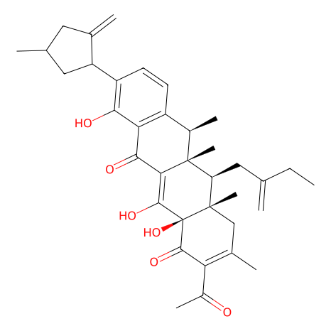 C=C(CC)C[C@@H]1[C@]2(C)C(=C(O)[C@@]3(O)C(=O)C(C(C)=O)=C(C)C[C@@]13C)C(=O)c1c(ccc(C3CC(C)CC3=C)c1O)[C@H]2C